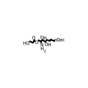 CCCCCCCCCCCCCCC(O)C(O)C(N)COC(=O)CCO